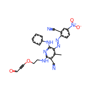 Cc1c(C#N)c(NCCOC#CC=O)nc(Nc2ccccc2)c1N=Nc1ccc([N+](=O)[O-])cc1C#N